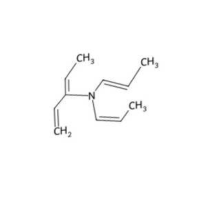 C=C/C(=C/C)N(/C=C\C)/C=C/C